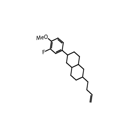 C=CCCC1CCC2CC(c3ccc(OC)c(F)c3)CCC2C1